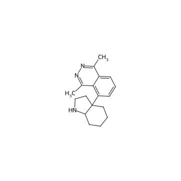 Cc1nnc(C)c2c(C34CCCCC3NCC4)cccc12